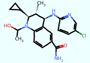 CC(O)N1c2ccc(C(N)=O)cc2[C@H](Nc2ccc(Cl)cn2)[C@@H](C)[C@@H]1C1CC1